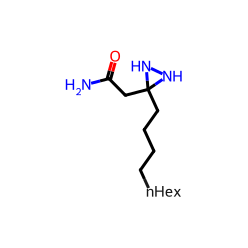 CCCCCCCCCCC1(CC(N)=O)NN1